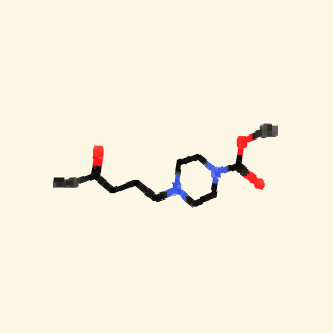 COC(=O)CCCN1CCN(C(=O)OC(C)(C)C)CC1